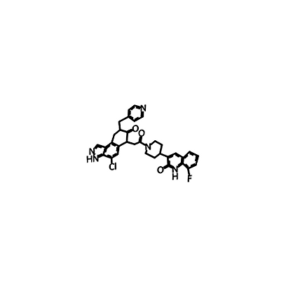 O=C1C(Cc2ccncc2)Cc2c(cc(Cl)c3[nH]ncc23)C1CC(=O)N1CCC(c2cc3cccc(F)c3[nH]c2=O)CC1